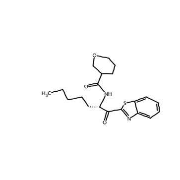 CCCCC[C@H](NC(=O)C1CCCOC1)C(=O)c1nc2ccccc2s1